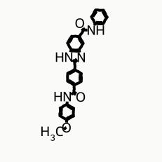 COc1ccc(NC(=O)c2ccc(-c3nc4cc(C(=O)Nc5ccccc5)ccc4[nH]3)cc2)cc1